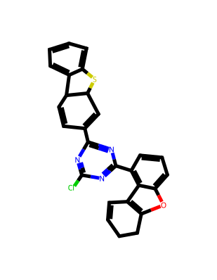 Clc1nc(C2=CC3Sc4ccccc4C3C=C2)nc(-c2cccc3oc4c(c23)C=CCC4)n1